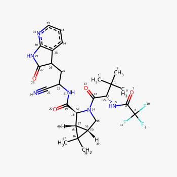 CC(C)(C)[C@H](NC(=O)C(F)(F)F)C(=O)N1C[C@H]2[C@@H]([C@H]1C(=O)NC(C#N)CC1C(=O)Nc3ncccc31)C2(C)C